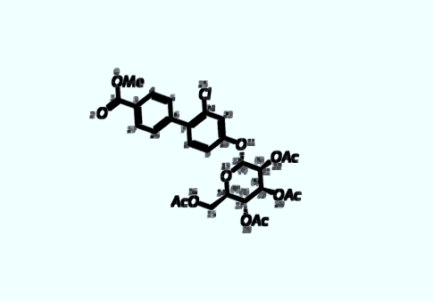 COC(=O)c1ccc(-c2ccc(O[C@H]3O[C@H](COC(C)=O)[C@@H](OC(C)=O)[C@H](OC(C)=O)[C@@H]3OC(C)=O)cc2Cl)cc1